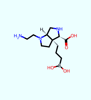 NCCN1CC[C@]2(CCCB(O)O)[C@@H](C(=O)O)NC[C@H]12